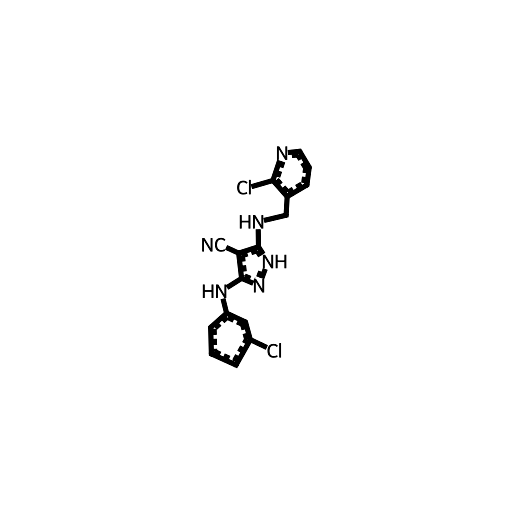 N#Cc1c(Nc2cccc(Cl)c2)n[nH]c1NCc1cccnc1Cl